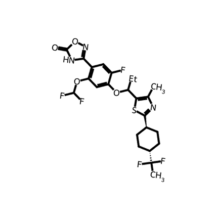 CCC(Oc1cc(OC(F)F)c(-c2noc(=O)[nH]2)cc1F)c1sc([C@H]2CC[C@H](C(C)(F)F)CC2)nc1C